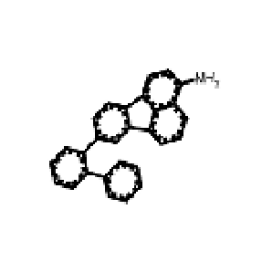 Nc1ccc2c3c(cccc13)-c1cc(-c3ccccc3-c3ccccc3)ccc1-2